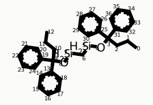 CCCC(O[SiH2]C[SiH2]OC(CCC)(c1ccccc1)c1ccccc1)(c1ccccc1)c1ccccc1